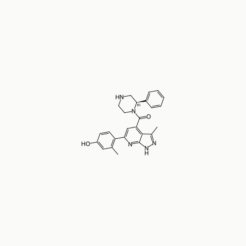 Cc1cc(O)ccc1-c1cc(C(=O)N2CCNC[C@H]2c2ccccc2)c2c(C)n[nH]c2n1